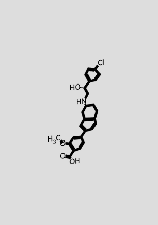 COc1cc(-c2ccc3c(c2)C[C@@H](NC[C@H](O)c2ccc(Cl)cc2)CC3)ccc1C(=O)O